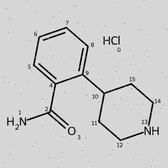 Cl.NC(=O)c1ccccc1C1CCNCC1